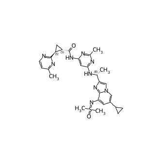 Cc1ccnc([C@H]2C[C@@H]2C(=O)Nc2cc(N[C@H](C)c3cn4cc(C5CC5)cc(N=S(C)(C)=O)c4n3)nc(C)n2)n1